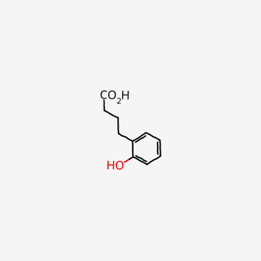 O=C(O)CCCc1ccccc1O